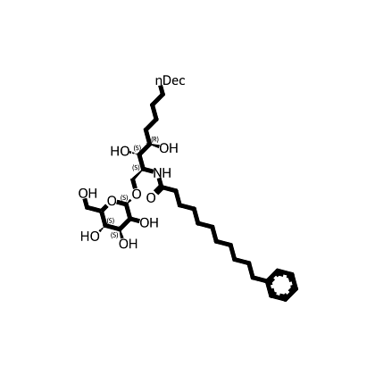 CCCCCCCCCCCCCC[C@@H](O)[C@@H](O)[C@H](CO[C@H]1OC(CO)[C@@H](O)[C@H](O)C1O)NC(=O)CCCCCCCCCCc1ccccc1